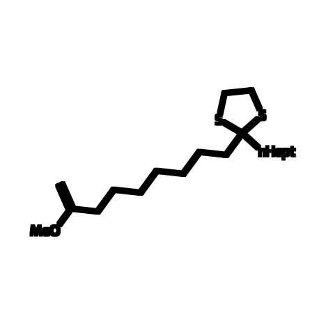 C=C(CCCCCCCC1(CCCCCCC)SCCS1)OC